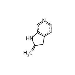 C=C1Cc2ccncc2N1